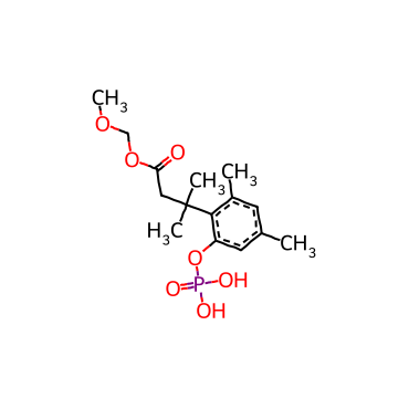 COCOC(=O)CC(C)(C)c1c(C)cc(C)cc1OP(=O)(O)O